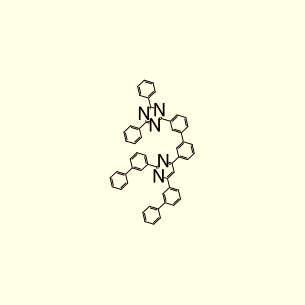 c1ccc(-c2cccc(-c3cc(-c4cccc(-c5cccc(-c6nc(-c7ccccc7)nc(-c7ccccc7)n6)c5)c4)nc(-c4cccc(-c5ccccc5)c4)n3)c2)cc1